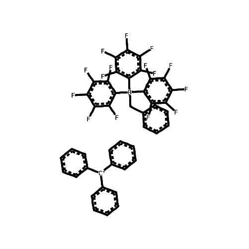 Fc1c(F)c(F)c([B-](Cc2ccccc2)(c2c(F)c(F)c(F)c(F)c2F)c2c(F)c(F)c(F)c(F)c2F)c(F)c1F.c1ccc([C+](c2ccccc2)c2ccccc2)cc1